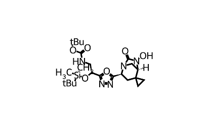 CC(C)(C)OC(=O)NC[C@H](O[Si](C)(C)C(C)(C)C)c1nnc([C@@H]2CC3(CC3)[C@H]3CN2C(=O)N3O)o1